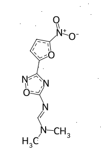 CN(C)/C=N/c1nc(-c2ccc([N+](=O)[O-])o2)no1